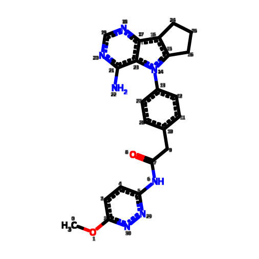 COc1ccc(NC(=O)Cc2ccc(-n3c4c(c5ncnc(N)c53)CCC4)cc2)nn1